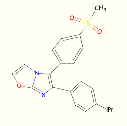 CC(C)c1ccc(-c2nc3occn3c2-c2ccc(S(C)(=O)=O)cc2)cc1